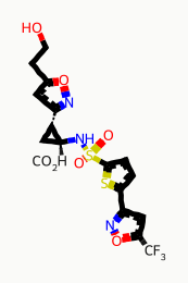 O=C(O)[C@@]1(NS(=O)(=O)c2ccc(-c3cc(C(F)(F)F)on3)s2)C[C@@H]1c1cc(CCO)on1